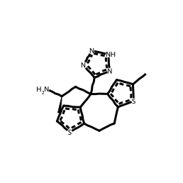 Cc1cc2c(s1)CCc1sccc1C2(C[C@@H](C)N)c1nn[nH]n1